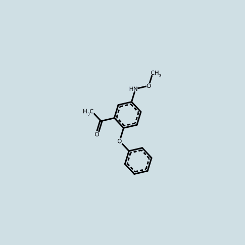 CONc1ccc(Oc2ccccc2)c(C(C)=O)c1